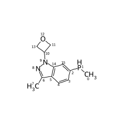 CPc1ccc2c(C)nn(C3COC3)c2c1